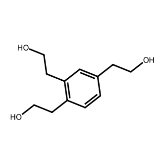 OCCc1ccc(CCO)c(CCO)c1